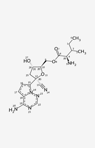 CCC(C)[C@@H](N)C(=O)OC[C@H]1O[C@@](C#N)(c2ccc3c(N)ncnn23)C[C@@H]1O